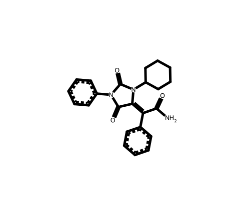 NC(=O)/C(=C1/C(=O)N(c2ccccc2)C(=O)N1C1CCCCC1)c1ccccc1